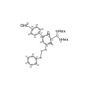 CCCCCCC(CCCCCC)c1nc(CCCc2ccccc2)cc(-c2ccc(C=O)cc2)n1